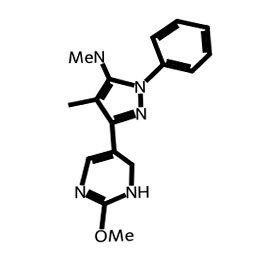 CNc1c(C)c(C2=CN=C(OC)NC2)nn1-c1ccccc1